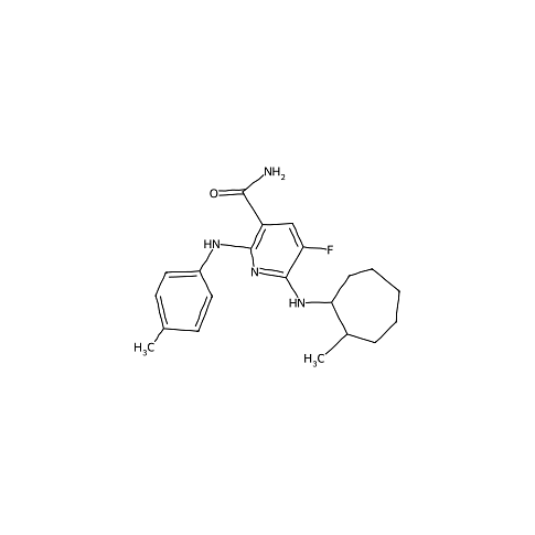 Cc1ccc(Nc2nc(NC3CCCCCC3C)c(F)cc2C(N)=O)cc1